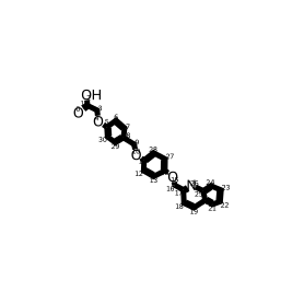 O=C(O)COc1ccc(COc2ccc(OCc3ccc4ccccc4n3)cc2)cc1